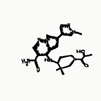 CC(O)C(=O)N1CCC(Nc2c(C(N)=O)cnn3cc(-c4cnn(C)c4)cc23)C(C)(C)C1